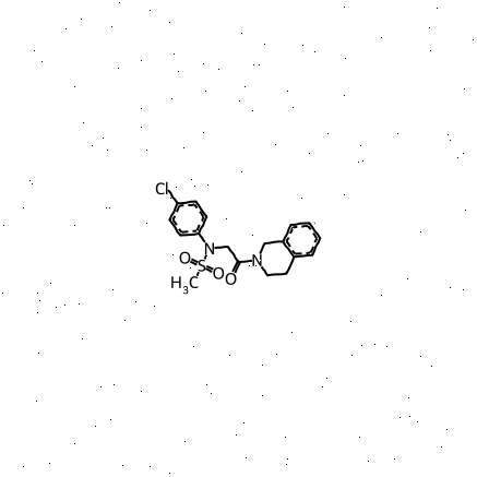 CS(=O)(=O)N(CC(=O)N1CCc2cc[c]cc2C1)c1ccc(Cl)cc1